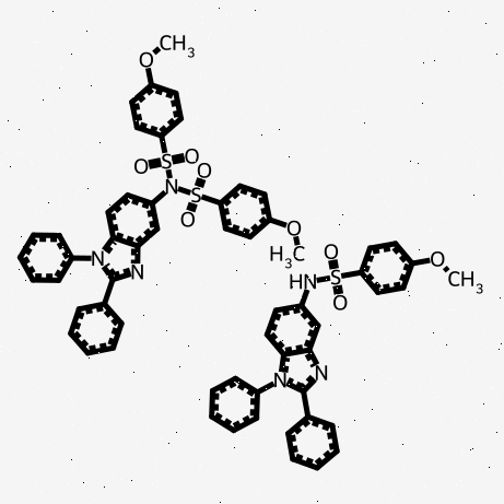 COc1ccc(S(=O)(=O)N(c2ccc3c(c2)nc(-c2ccccc2)n3-c2ccccc2)S(=O)(=O)c2ccc(OC)cc2)cc1.COc1ccc(S(=O)(=O)Nc2ccc3c(c2)nc(-c2ccccc2)n3-c2ccccc2)cc1